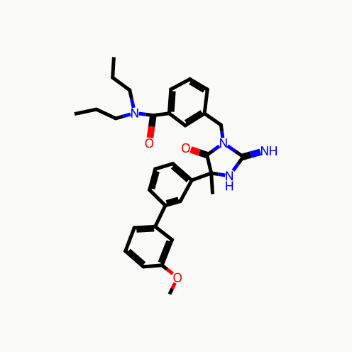 CCCN(CCC)C(=O)c1cccc(CN2C(=N)NC(C)(c3cccc(-c4cccc(OC)c4)c3)C2=O)c1